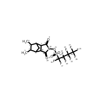 CC1C(C)C2CC1C1C(=O)N(OS(=O)(=O)C(F)(F)C(F)(F)C(F)(F)C(F)(F)F)C(=O)C21